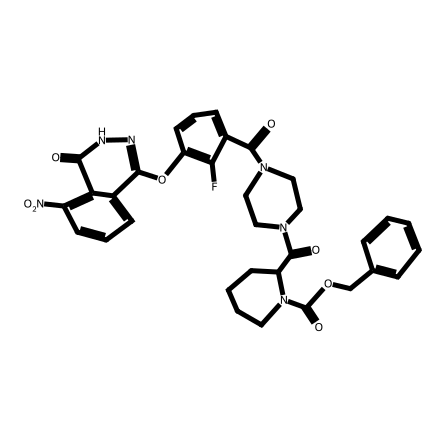 O=C(c1cccc(Oc2n[nH]c(=O)c3c([N+](=O)[O-])cccc23)c1F)N1CCN(C(=O)C2CCCCN2C(=O)OCc2ccccc2)CC1